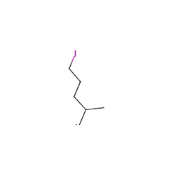 [CH2]C(C)CCCI